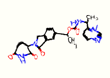 CC(NC(=O)OC(C)c1ccc2c(c1)C(=O)N(C1CCC(=O)NC1=O)C2)c1ccncn1